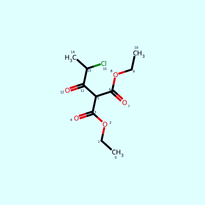 CCOC(=O)C(C(=O)OCC)C(=O)C(C)Cl